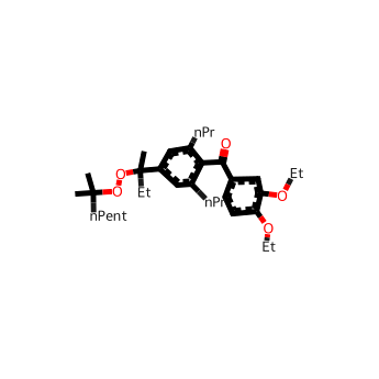 CCCCCC(C)(C)OOC(C)(CC)c1cc(CCC)c(C(=O)c2ccc(OCC)c(OCC)c2)c(CCC)c1